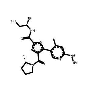 CC[C@H](CO)NC(=O)c1nc(C(=O)N2CCC[C@@H]2C)c(-c2cnc(NC(C)C)cc2C)s1